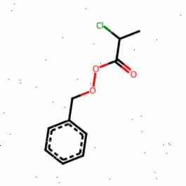 CC(Cl)C(=O)OOCc1ccccc1